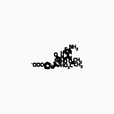 CC(C)(O/N=C(\C(=O)NC1C(=O)N2C=C(C[n+]3ccc(C(=O)[O-])cc3)CS[C@H]12)c1nsc(N)n1)C(=O)O